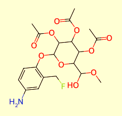 COC(O)C1OC(Oc2ccc(N)cc2CF)C(OC(C)=O)C(OC(C)=O)C1OC(C)=O